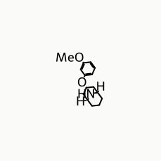 COc1cccc(O[C@H]2C[C@H]3CCC[C@@H](C2)N3)c1